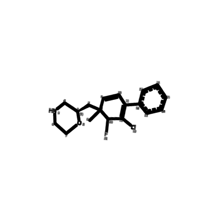 CC1(C[C@@H]2CNCCO2)C=CC(c2ccccc2)=C(Cl)C1F